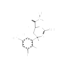 C[C@@H]1[C@@](C)(C(=O)N(C)C)SC(N)=N[C@]1(C)c1cc(N)cc(F)c1F